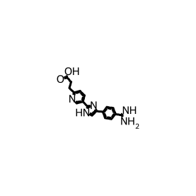 N=C(N)c1ccc(-c2c[nH]c(-c3ccc(CCC(=O)O)nc3)n2)cc1